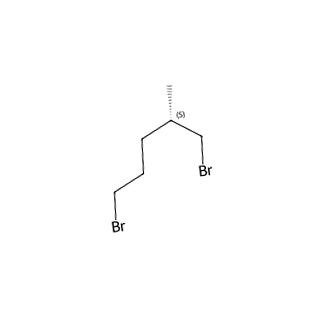 C[C@H](CBr)CCCBr